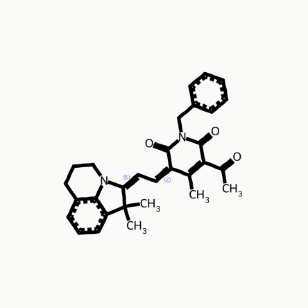 CC(=O)C1=C(C)/C(=C/C=C2/N3CCCc4cccc(c43)C2(C)C)C(=O)N(Cc2ccccc2)C1=O